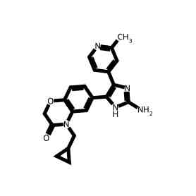 Cc1cc(-c2nc(N)[nH]c2-c2ccc3c(c2)N(CC2CC2)C(=O)CO3)ccn1